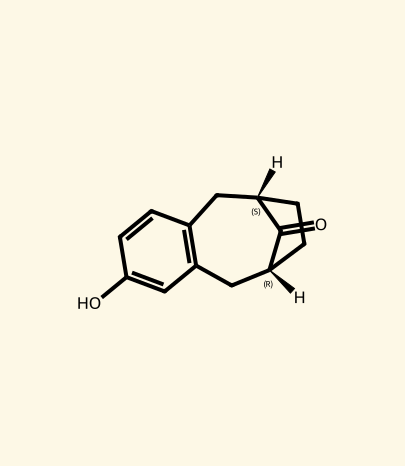 O=C1[C@@H]2CC[C@H]1Cc1ccc(O)cc1C2